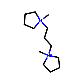 C[N+]1(CCC[N+]2(C)CCCC2)CCCC1